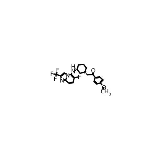 COc1ccc(C(=O)C[C@@H]2CCC[C@H](Nc3c(F)ccc4nc(C(F)(F)F)cn34)C2)cc1